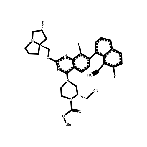 C#Cc1c(F)ccc2cccc(-c3ccc4c(N5CCN(C(=O)OC(C)(C)C)[C@@H](CC#N)C5)nc(OC[C@@]56CCCN5C[C@H](F)C6)nc4c3F)c12